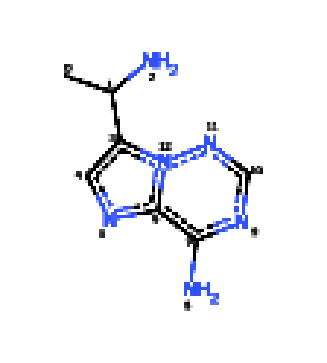 CC(N)c1cnc2c(N)ncnn12